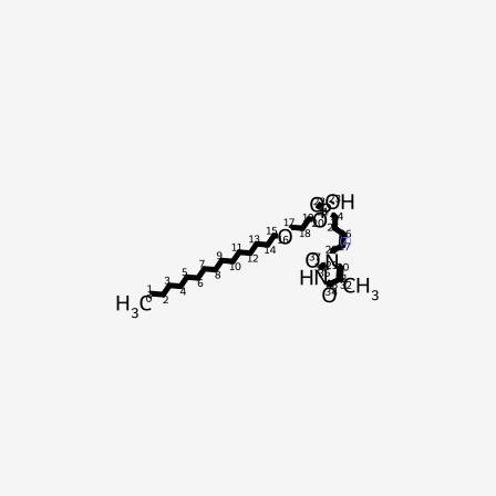 CCCCCCCCCCCCCCCCOCCCOP(=O)(O)CC/C=C\Cn1cc(C)c(=O)[nH]c1=O